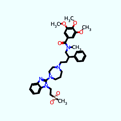 COc1cc(C(=O)N(C)CC(CCN2CCCN(c3nc4ccccc4n3CCS(C)(=O)=O)CC2)c2ccccc2)cc(OC)c1OC